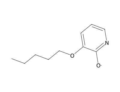 CCCCCOc1cccnc1[O]